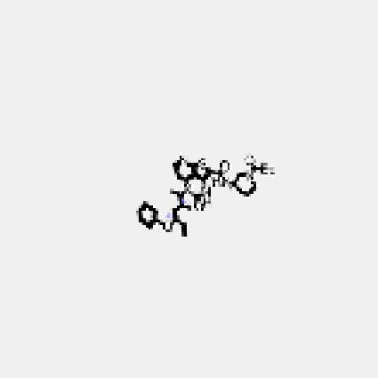 C=C/C(=C\C(C)=C(/C)N1C(=O)Nc2c(C(=O)N[C@@H]3CCCN(C(=O)CC)C3)sc3nccc1c23)Oc1ccccc1